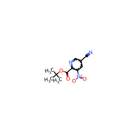 CC(C)(C)OC(=O)c1ncc(C#N)cc1[N+](=O)[O-]